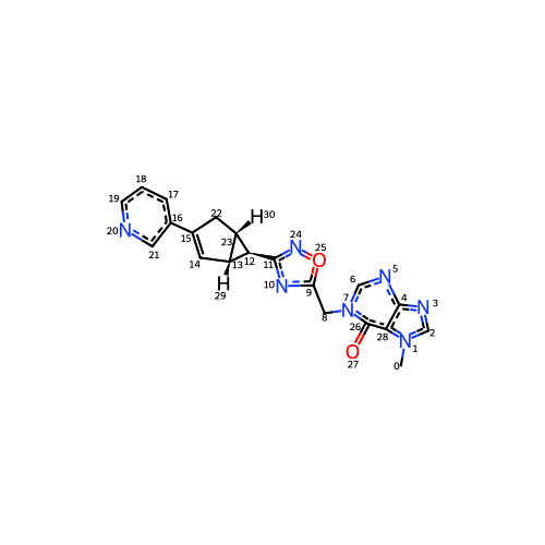 Cn1cnc2ncn(Cc3nc([C@H]4[C@@H]5C=C(c6cccnc6)C[C@@H]54)no3)c(=O)c21